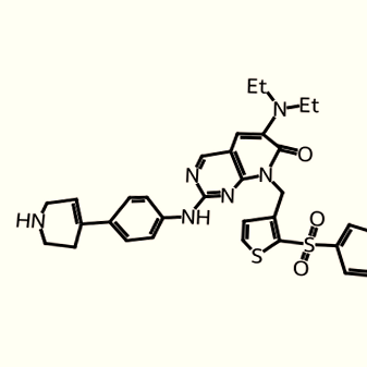 CCN(CC)c1cc2cnc(Nc3ccc(C4=CCNCC4)cc3)nc2n(Cc2ccsc2S(=O)(=O)c2ccccc2)c1=O